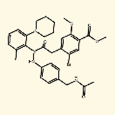 COC(=O)c1cc(Br)c(CC(=O)N(Nc2ccc(CNC(C)=O)cc2)c2c(C)cccc2N2CCCCC2)cc1OC